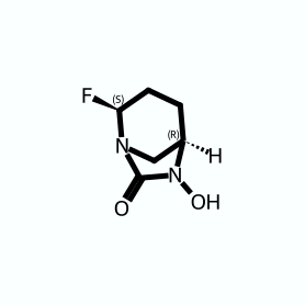 O=C1N(O)[C@@H]2CC[C@H](F)N1C2